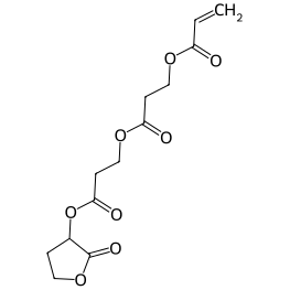 C=CC(=O)OCCC(=O)OCCC(=O)OC1CCOC1=O